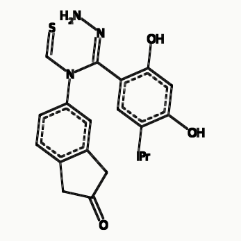 CC(C)c1cc(/C(=N/N)N(C=S)c2ccc3c(c2)CC(=O)C3)c(O)cc1O